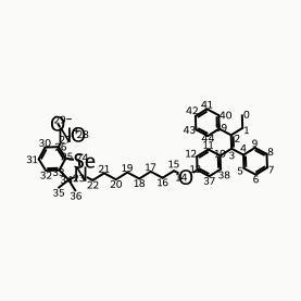 CCC(=C(c1ccccc1)c1ccc(OCCCCCCCCN2[Se]c3c([N+](=O)[O-])cccc3C2(C)C)cc1)c1ccccc1